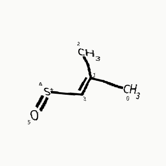 CC(C)=C[S+]=O